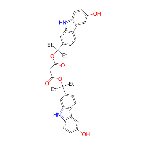 CCC(CC)(OC(=O)CC(=O)OC(CC)(CC)c1ccc2c(c1)[nH]c1ccc(O)cc12)c1ccc2c(c1)[nH]c1ccc(O)cc12